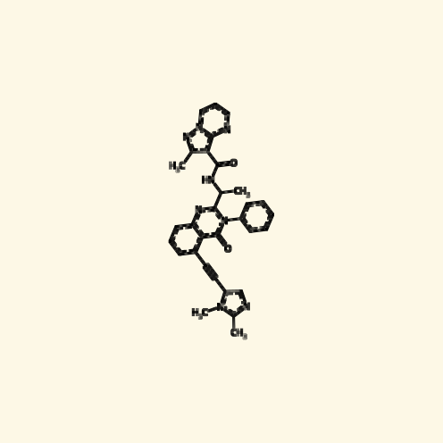 Cc1nn2cccnc2c1C(=O)NC(C)c1nc2cccc(C#Cc3cnc(C)n3C)c2c(=O)n1-c1ccccc1